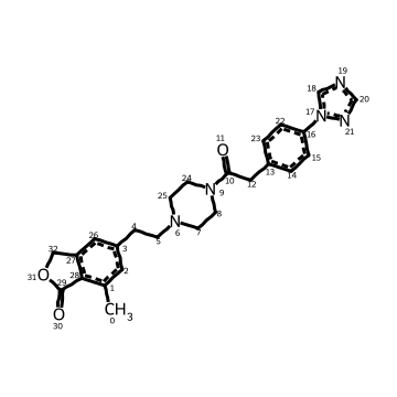 Cc1cc(CCN2CCN(C(=O)Cc3ccc(-n4cncn4)cc3)CC2)cc2c1C(=O)OC2